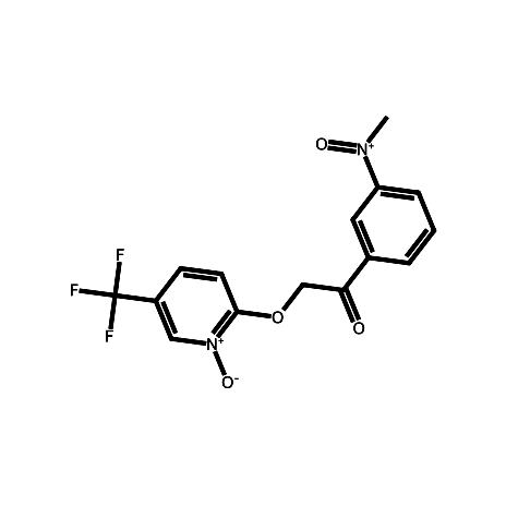 C[N+](=O)c1cccc(C(=O)COc2ccc(C(F)(F)F)c[n+]2[O-])c1